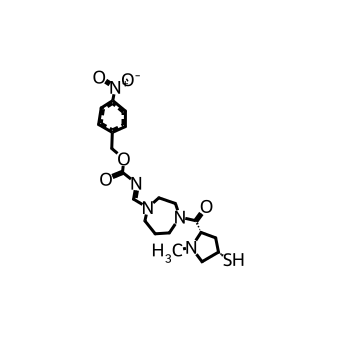 CN1C[C@@H](S)C[C@H]1C(=O)N1CCCN(C=NC(=O)OCc2ccc([N+](=O)[O-])cc2)CC1